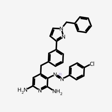 Nc1cc(Cc2cccc(-c3ccn(Cc4ccccc4)n3)c2)c(/N=N/c2ccc(Cl)cc2)c(N)n1